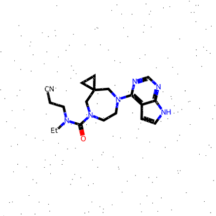 CCN(CCC#N)C(=O)N1CCN(c2ncnc3[nH]ccc23)CC2(CC2)C1